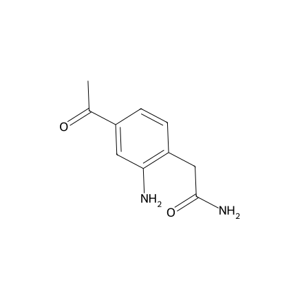 CC(=O)c1ccc(CC(N)=O)c(N)c1